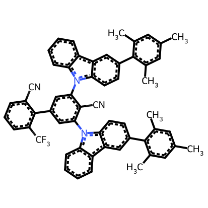 Cc1cc(C)c(-c2ccc3c(c2)c2ccccc2n3-c2cc(-c3c(C#N)cccc3C(F)(F)F)cc(-n3c4ccccc4c4cc(-c5c(C)cc(C)cc5C)ccc43)c2C#N)c(C)c1